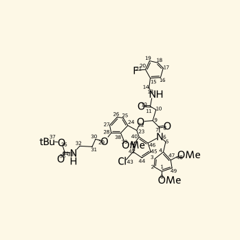 COc1ccc(CN2C(=O)C(CC(=O)NCc3ccccc3F)OC(c3cccc(OCCCNC(=O)OC(C)(C)C)c3OC)c3cc(Cl)ccc32)c(OC)c1